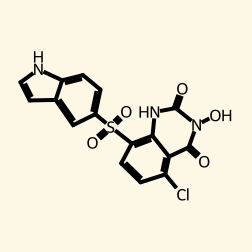 O=c1[nH]c2c(S(=O)(=O)c3ccc4[nH]ccc4c3)ccc(Cl)c2c(=O)n1O